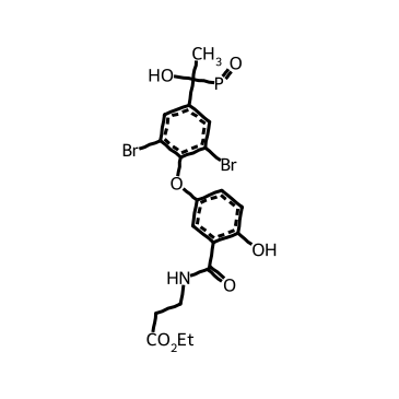 CCOC(=O)CCNC(=O)c1cc(Oc2c(Br)cc(C(C)(O)P=O)cc2Br)ccc1O